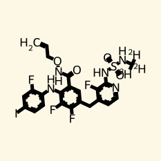 [2H]C([2H])([2H])NS(=O)(=O)Nc1nccc(Cc2cc(C(=O)NOCC=C)c(Nc3ccc(I)cc3F)c(F)c2F)c1F